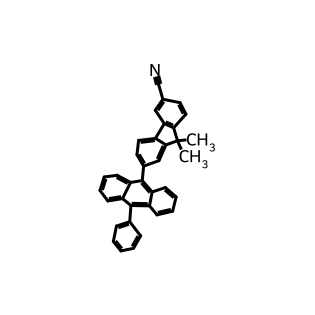 CC1(C)c2ccc(C#N)cc2-c2ccc(-c3c4ccccc4c(-c4ccccc4)c4ccccc34)cc21